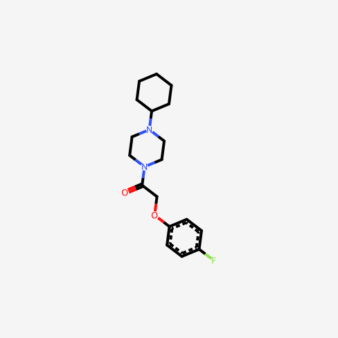 O=C(COc1ccc(F)cc1)N1CCN(C2CCCCC2)CC1